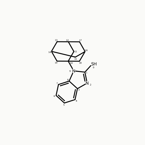 Sc1nc2ccccc2n1C12CC3CC(CC(C3)C1)C2